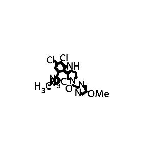 COc1cnc(C(=O)N2CCc3[nH]c4c(Cl)c(Cl)cc(-c5ccn(C)n5)c4c3[C@@H]2C)nc1